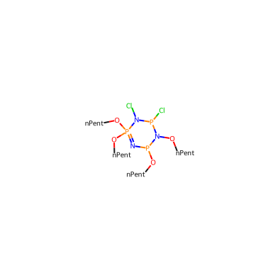 CCCCCON1P(OCCCCC)N=P(OCCCCC)(OCCCCC)N(Cl)P1Cl